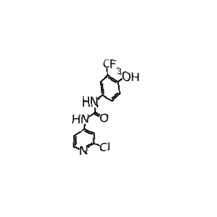 O=C(Nc1ccnc(Cl)c1)Nc1ccc(O)c(C(F)(F)F)c1